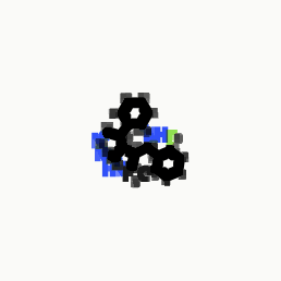 Fc1cccc(C(F)(F)F)c1C1Nc2ccccc2-c2cnnc3[nH]cc1c23